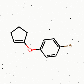 Brc1ccc(OC2=CCCC2)cc1